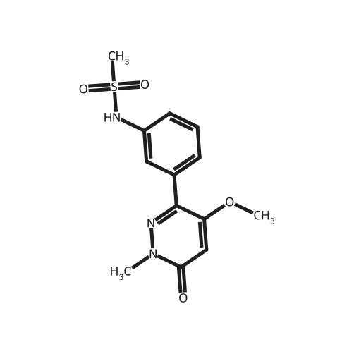 COc1cc(=O)n(C)nc1-c1cccc(NS(C)(=O)=O)c1